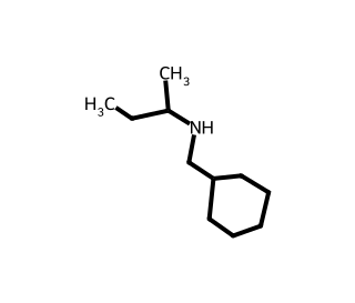 CCC(C)NCC1CCCCC1